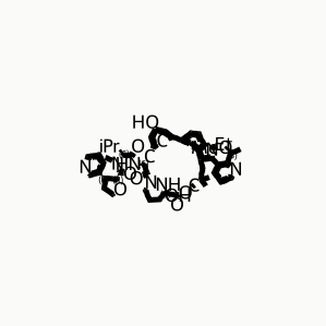 CCn1c(-c2cccnc2[C@H](C)OC)c2c3cc(ccc31)-c1cc(O)cc(c1)C[C@H](NC(=O)[C@H](C(C)C)N(C)C(=O)[C@@H]1OCC[C@@H]1c1cccnc1)C(=O)N1CCC[C@@](O)(N1)C(=O)OCC(C)(C)C2